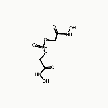 O=C(CO[PH](=O)OCC(=O)NO)NO